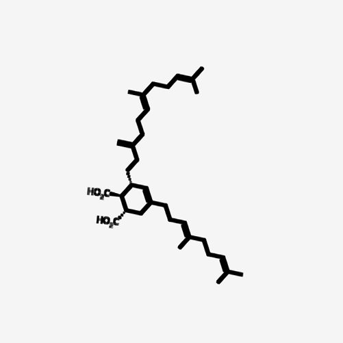 C=C(CC/C=C(\C)CCC=C(C)C)CC[C@@H]1C=C(CC/C=C(\C)CCC=C(C)C)C[C@H](C(=O)O)[C@H]1C(=O)O